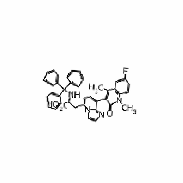 Cc1c(-c2ccc(CC(NC(c3ccccc3)(c3ccccc3)c3ccccc3)C(=O)O)n3ccnc23)c(=O)n(C)c2ccc(F)cc12